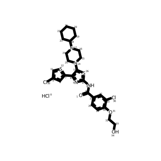 Cl.O=C(Nc1nc(-c2cc(Cl)cs2)c(N2CCN(C3CCCCC3)CC2)s1)c1ccc(OCCO)c(Cl)c1